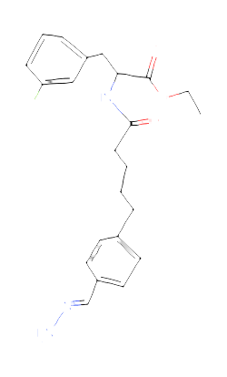 CCOC(=O)C(Cc1cccc(F)c1)NC(=O)CCCCc1ccc(C=NN)cc1